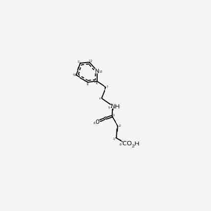 O=C(O)CCC(=O)NCCc1ccccn1